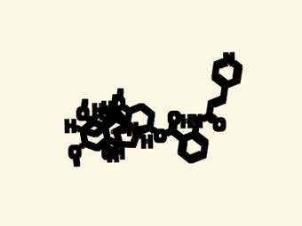 CCN1C[C@]2(OC(=O)c3ccccc3NC(=O)/C=C/c3ccncc3)CC[C@H](OC)[C@]34C1[C@@H](C[C@H]23)[C@@]1(O)C[C@H](OC)[C@H]2C[C@@H]4[C@]1(O)[C@H]2OC